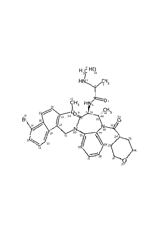 CNC(C)C(=O)N[C@@H]1C(=O)N(Cc2c(OC)ccc3c(Br)cccc23)c2ccccc2N(C(=O)C2CCOCC2)[C@H]1C.Cl